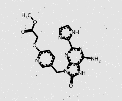 COC(=O)COc1ccc(Cn2c(=O)[nH]c3c(N)nc(-c4ncc[nH]4)nc32)cn1